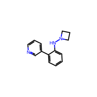 [c]1ncccc1-c1ccccc1NN1CCC1